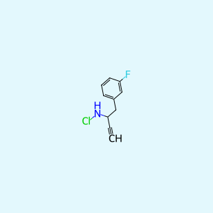 C#CC(Cc1cccc(F)c1)NCl